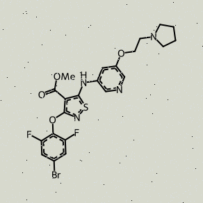 COC(=O)c1c(Oc2c(F)cc(Br)cc2F)nsc1Nc1cncc(OCCN2CCCC2)c1